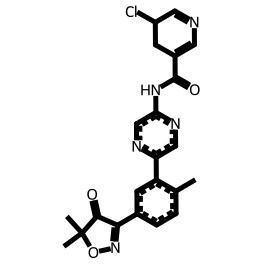 Cc1ccc(C2=NOC(C)(C)C2=O)cc1-c1cnc(NC(=O)C2=CN=CC(Cl)C2)cn1